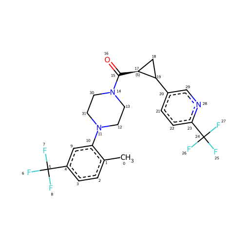 Cc1ccc(C(F)(F)F)cc1N1CCN(C(=O)[C@H]2CC2c2ccc(C(F)(F)F)nc2)CC1